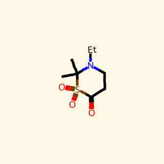 CCN1CCC(=O)S(=O)(=O)C1(C)C